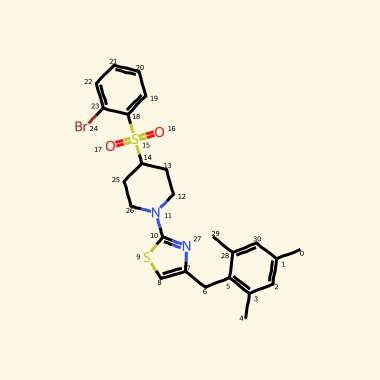 Cc1cc(C)c(Cc2csc(N3CCC(S(=O)(=O)c4ccccc4Br)CC3)n2)c(C)c1